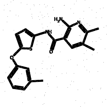 Cc1cccc(Oc2ccc(NC(=O)c3cc(C)c(C)nc3N)s2)c1